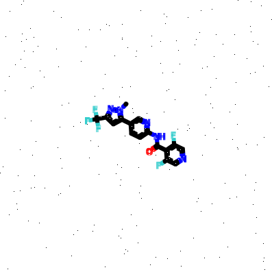 Cn1nc(C(F)(F)F)cc1-c1ccc(NC(=O)c2c(F)cncc2F)nc1